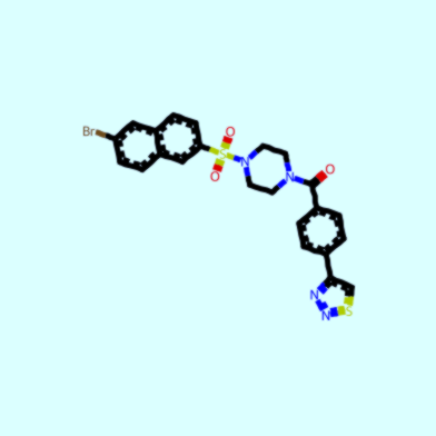 O=C(c1ccc(-c2csnn2)cc1)N1CCN(S(=O)(=O)c2ccc3cc(Br)ccc3c2)CC1